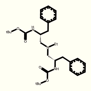 CCN(C[C@@H](Cc1ccccc1)NC(=O)OC(C)(C)C)C[C@H](Cc1ccccc1)NC(=O)OC(C)(C)C